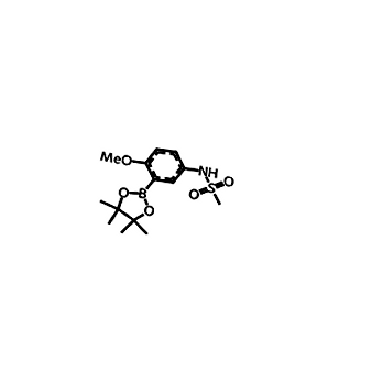 COc1ccc(NS(C)(=O)=O)cc1B1OC(C)(C)C(C)(C)O1